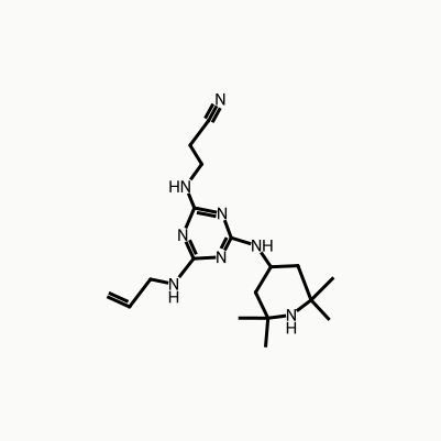 C=CCNc1nc(NCCC#N)nc(NC2CC(C)(C)NC(C)(C)C2)n1